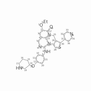 CCOc1cc2cnc(Nc3ccc(OC4CCCNC4)cc3)nc2n(Cc2ccsc2-c2ccncc2)c1=O